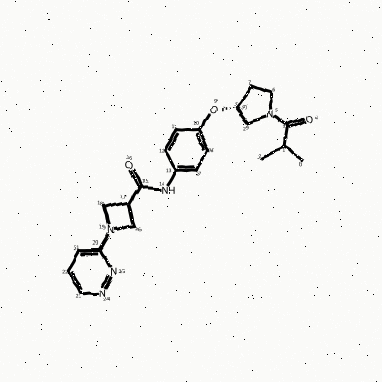 CC(C)C(=O)N1CC[C@@H](Oc2ccc(NC(=O)C3CN(c4cccnn4)C3)cc2)C1